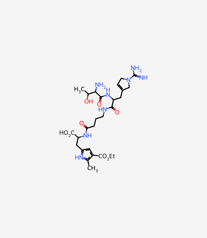 CCOC(=O)c1cc(CC(NC(=O)CCCNC(=O)C(CC2=CCN(C(=N)N)C2)NC(=O)C(N)C(C)O)C(=O)O)[nH]c1C